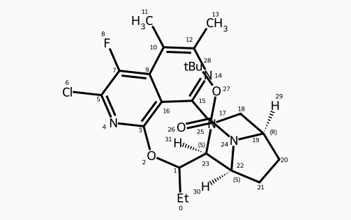 CCC1Oc2nc(Cl)c(F)c3c(C)c(C)nc(c23)N2C[C@H]3CC[C@@H]([C@@H]12)N3C(=O)OC(C)(C)C